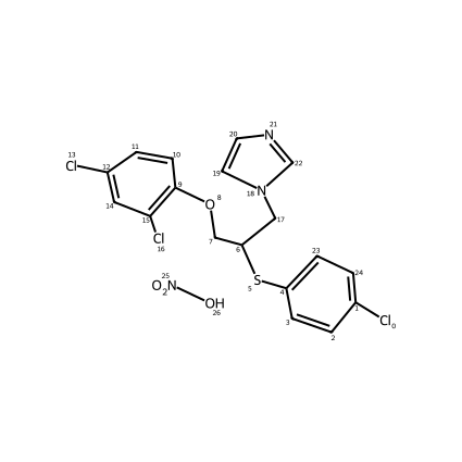 Clc1ccc(SC(COc2ccc(Cl)cc2Cl)Cn2ccnc2)cc1.O=[N+]([O-])O